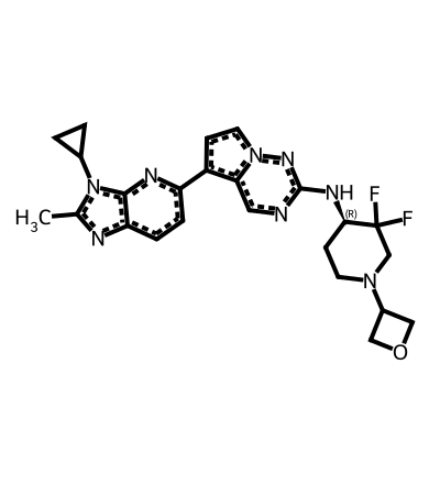 Cc1nc2ccc(-c3ccn4nc(N[C@@H]5CCN(C6COC6)CC5(F)F)ncc34)nc2n1C1CC1